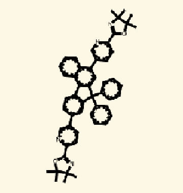 CC1(C)N=C(c2ccc(-c3ccc4c(c3)C(c3ccccc3)(c3ccccc3)c3cc(-c5ccc(C6=NC(C)(C)C(C)(C)O6)nc5)c5ccccc5c3-4)cn2)OC1(C)C